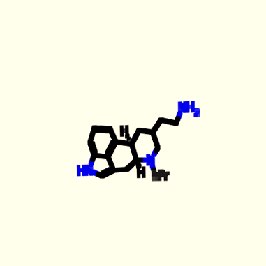 CCCN1CC(CCN)C[C@@H]2c3cccc4[nH]cc(c34)C[C@H]21